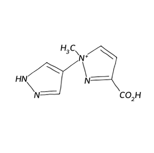 C[N+]1(c2cn[nH]c2)C=CC(C(=O)O)=N1